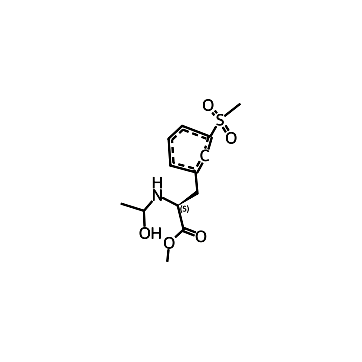 COC(=O)[C@H](Cc1cccc(S(C)(=O)=O)c1)NC(C)O